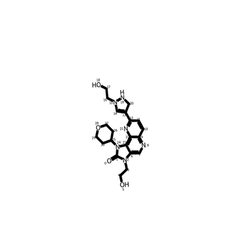 O=c1n(CCO)c2cnc3ccc(C4=CN(CCO)NC4)nc3c2n1C1CCOCC1